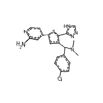 CN(C)C(c1ccc(Cl)cc1)c1cc(-c2ccnc(N)c2)sc1-c1nnc[nH]1